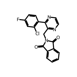 O=C1c2ccccc2C(=O)N1Cc1nccnc1-c1ccc(F)cc1Cl